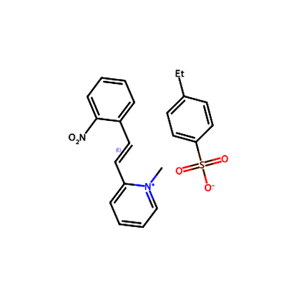 CCc1ccc(S(=O)(=O)[O-])cc1.C[n+]1ccccc1/C=C/c1ccccc1[N+](=O)[O-]